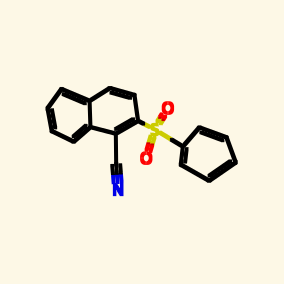 N#Cc1c(S(=O)(=O)c2ccccc2)ccc2ccccc12